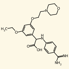 CCOc1cc(OCCN2CCOCC2)cc(C(Nc2ccc(C(=N)N)cc2)C(=O)O)c1